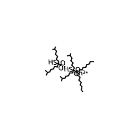 CC(C)CCCCCC(S)(CCCCCC(C)C)C(=O)[O-].CC(C)CCCCCC(S)(CCCCCC(C)C)C(=O)[O-].CCCCCCC[CH2][Sn+2][CH2]CCCCCCC